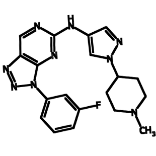 CN1CCC(n2cc(Nc3ncc4nnn(-c5cccc(F)c5)c4n3)cn2)CC1